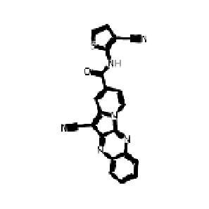 N#Cc1ccsc1NC(=O)c1ccn2c(c1)c(C#N)c1nc3ccccc3nc12